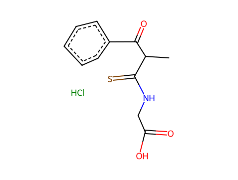 CC(C(=O)c1ccccc1)C(=S)NCC(=O)O.Cl